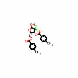 Cc1ccc(C(=O)OC[C@@H]2OC(O)C(Cl)(Cl)[C@@H]2OC(=O)c2ccc(C)cc2)cc1